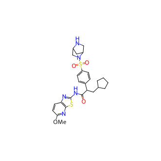 COc1ccc2nc(NC(=O)C(CC3CCCC3)c3ccc(S(=O)(=O)N4CC5CC4CN5)cc3)sc2n1